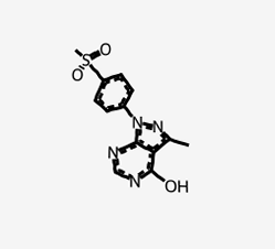 Cc1nn(-c2ccc(S(C)(=O)=O)cc2)c2ncnc(O)c12